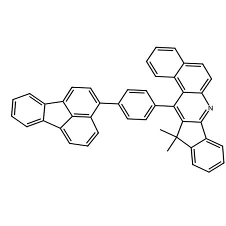 CC1(C)c2ccccc2-c2nc3ccc4ccccc4c3c(-c3ccc(-c4ccc5c6c(cccc46)-c4ccccc4-5)cc3)c21